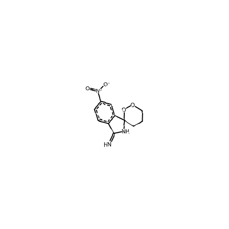 N=C1NC2(CCCOO2)c2cc([N+](=O)[O-])ccc21